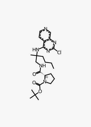 CCCCC(C)(CNC(=O)[C@@H]1CCCN1C(=O)OC(C)(C)C)Nc1nc(Cl)nc2cnccc12